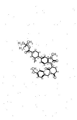 COc1ccc(CN2C(=O)CCC(n3c(=O)n(C)c4cc(C5CCN(C(=O)OC(C)(C)C)CC5F)ccc43)C2=O)cc1